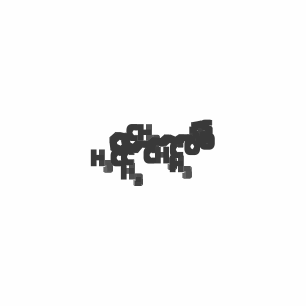 CC1=C(/C=C/C(C)=C/C=C/C(C)=C/C(=O)N2CCSC2=O)C(C)(C)CCC1